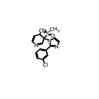 CS(=O)(=O)C1(n2ccnc2-c2cccc(Cl)c2)C=NC=CC1Cl